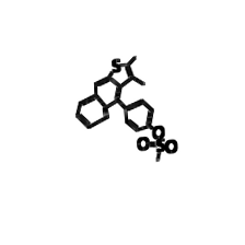 Cc1sc2cc3ccccc3c(-c3ccc(OS(C)(=O)=O)cc3)c2c1C